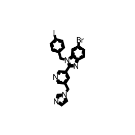 Brc1ccc2nc(-c3cncc(Cn4ccnc4)c3)n(Cc3ccc(I)cc3)c2c1